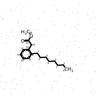 CCCCCCCCc1ccccc1CC(=O)OC